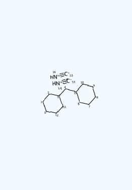 C1CCC(CC2CCCCC2)CC1.[C-]#[NH+].[C-]#[NH+]